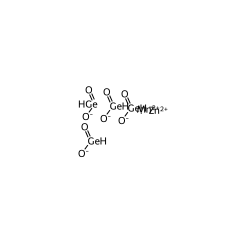 [Mn+2].[O]=[GeH][O-].[O]=[GeH][O-].[O]=[GeH][O-].[O]=[GeH][O-].[Zn+2]